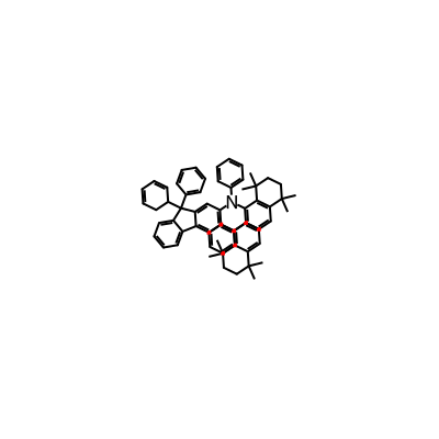 CC1(C)CCC(C)(C)c2c(-c3cc4c(cc3N(c3ccccc3)c3c(-c5ccccc5)ccc5c3C(C)(C)CCC5(C)C)C(c3ccccc3)(C3C=CC=CC3)c3ccccc3-4)cccc21